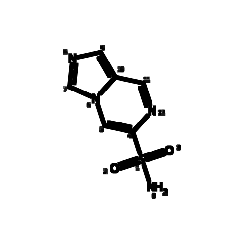 NS(=O)(=O)c1cn2cncc2cn1